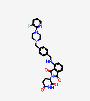 O=C1CCC(N2C(=O)c3cccc(NCc4ccc(CN5CCN(c6ncccc6F)CC5)cc4)c3C2=O)C(=O)N1